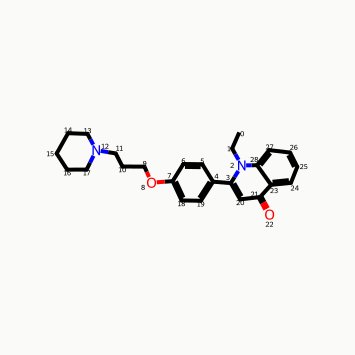 CCn1c(-c2ccc(OCCCN3CCCCC3)cc2)cc(=O)c2ccccc21